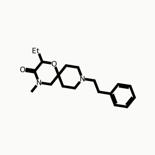 CCC1OC2(CCN(CCc3ccccc3)CC2)CN(C)C1=O